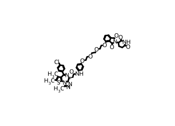 Cc1sc2c(c1C)C(c1ccc(Cl)cc1)=N[C@@H](CC(=O)Nc1ccc(OCCOCCOCCOc3cccc4c3C(=O)N(C3CCC(=O)NC3=O)C4=O)cc1)c1nnc(C)n1-2